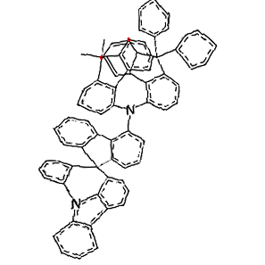 CC1(C)c2ccccc2-c2c(N(c3cccc4c3-c3ccccc3C43c4ccccc4-n4c5ccccc5c5cccc3c54)c3cccc4c3C3C=CC=CC3C4(c3ccccc3)c3ccccc3)cccc21